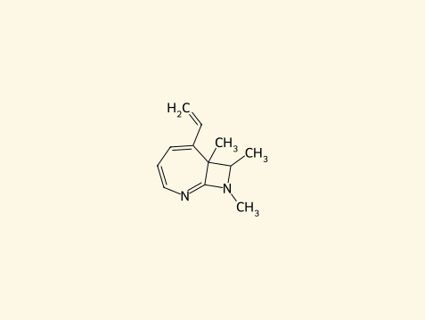 C=CC1=CC=CN=C2N(C)C(C)C12C